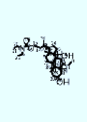 CC[C@H]1[C@@H](O)[C@@H]2[C@H](CC[C@]3(C)[C@@H]([C@H](C)CCOC(=O)N(CC)CC)CC[C@@H]23)[C@@]2(C)CC[C@@H](O)C[C@@H]12